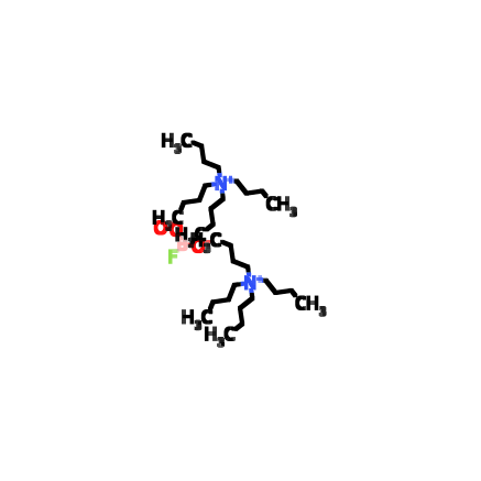 CCCC[N+](CCCC)(CCCC)CCCC.CCCC[N+](CCCC)(CCCC)CCCC.[O-]OB([O-])F